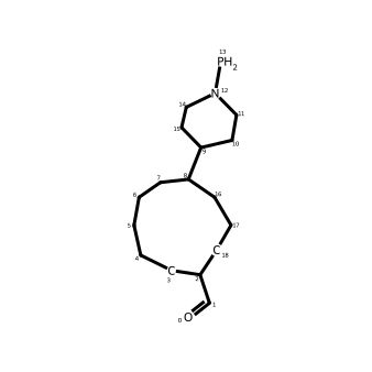 O=CC1CCCCCC(C2CCN(P)CC2)CCC1